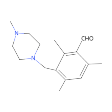 Cc1cc(C)c(CN2CCN(C)CC2)c(C)c1C=O